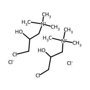 C[N+](C)(C)CC(O)CCl.C[N+](C)(C)CC(O)CCl.[Cl-].[Cl-]